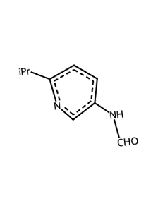 CC(C)c1ccc(NC=O)cn1